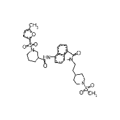 Cc1ccc(S(=O)(=O)N2CCCC(C(=O)Nc3ccc4c5c(cccc35)C(=O)N4CCC3CCN(S(C)(=O)=O)CC3)C2)o1